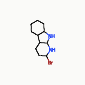 BrC1CCC2C(N1)NC1CCCCC12